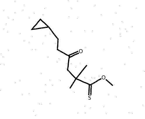 COC(=S)C(C)(C)CC(=O)CCC1CC1